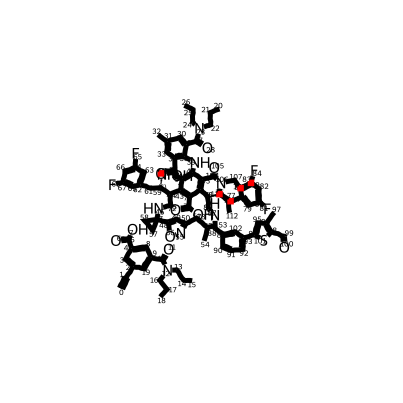 C#Cc1cc(C(=O)O)cc(C(=O)N(CCC)CCC)c1.CCCN(CCC)C(=O)c1cc(C)cc(C(=O)O)c1Nc1c(C)c(C(CNC2(c3cc(CC(C)C)no3)CC2)[C@@H](N)Cc2cc(F)cc(F)c2)c(C(=O)O)c([C@@H](CCc2cc(F)cc(F)c2)CNCc2cccc(-c3cc(C)c(C=O)s3)c2)c1C(=O)N(CCC)CCC